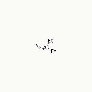 C=[CH][Al]([CH2]C)[CH2]C